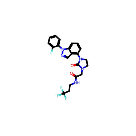 O=C(CN1CCN(c2cccc3c2cnn3-c2ccccc2F)C1=O)NCCC(F)(F)F